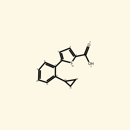 O=C(O)c1ccc(-c2ccccc2C2CC2)s1